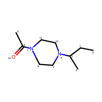 CCC(C)N1CCN(C(C)=O)CC1